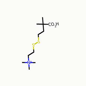 CC(C)(CCSSCC[N+](C)(C)C)C(=O)O